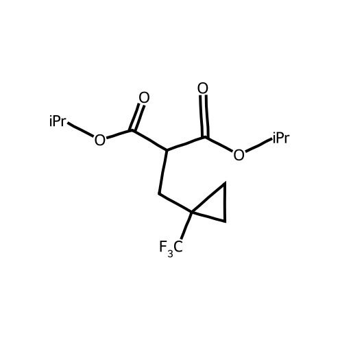 CC(C)OC(=O)C(CC1(C(F)(F)F)CC1)C(=O)OC(C)C